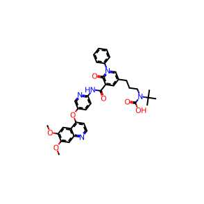 COc1cc2nccc(Oc3ccc(NC(=O)c4cc(CCCN(C(=O)O)C(C)(C)C)cn(-c5ccccc5)c4=O)nc3)c2cc1OC